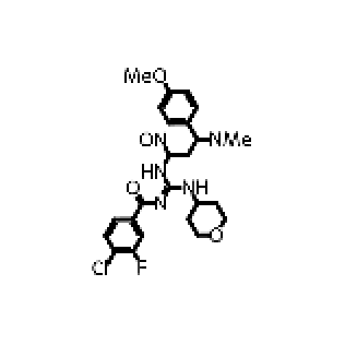 CNC(CC(N=O)N/C(=N\C(=O)c1ccc(Cl)c(F)c1)NC1CCOCC1)c1ccc(OC)cc1